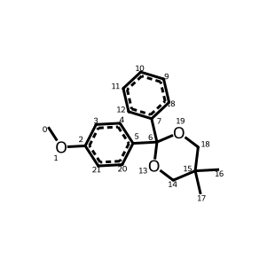 COc1ccc(C2(c3[c]cccc3)OCC(C)(C)CO2)cc1